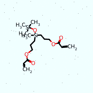 C=CC(=O)OCCC[Si](C)(CCCOC(=O)C=C)O[Si](C)(C)C